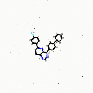 Fc1ccc(-c2ccc3ncnc(-c4ccc(-c5ccccc5)cc4)c3n2)cc1